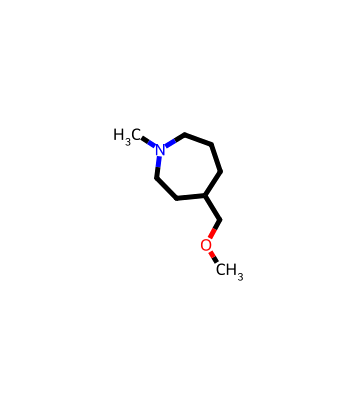 COCC1CCCN(C)CC1